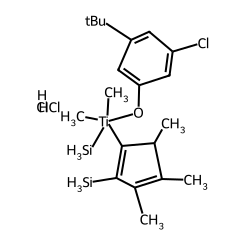 CC1=C(C)C(C)[C]([Ti]([CH3])([CH3])([SiH3])[O]c2cc(Cl)cc(C(C)(C)C)c2)=C1[SiH3].Cl.Cl